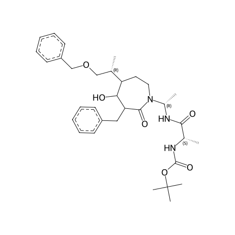 C[C@H](NC(=O)OC(C)(C)C)C(=O)N[C@@H](C)N1CCC([C@@H](C)COCc2ccccc2)C(O)C(Cc2ccccc2)C1=O